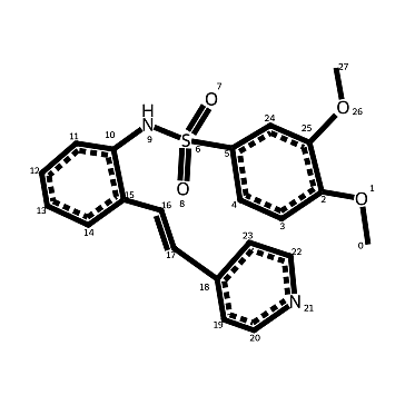 COc1ccc(S(=O)(=O)Nc2ccccc2/C=C/c2ccncc2)cc1OC